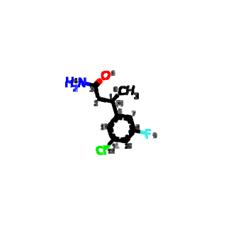 C[C@H](CC(N)=O)c1cc(F)cc(Cl)c1